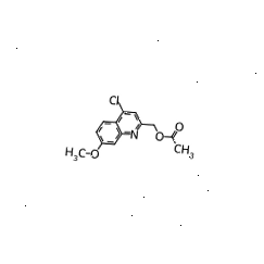 COc1ccc2c(Cl)cc(COC(C)=O)nc2c1